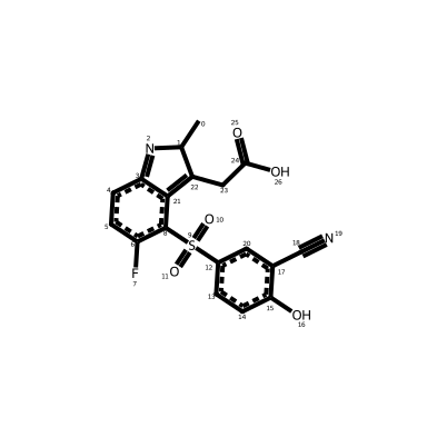 CC1N=c2ccc(F)c(S(=O)(=O)c3ccc(O)c(C#N)c3)c2=C1CC(=O)O